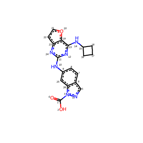 O=C(O)n1ncc2ccc(Nc3nc(NC4CCC4)c4occc4n3)cc21